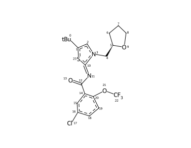 CC(C)(C)c1cn(C[C@H]2CCCO2)/c(=N/C(=O)c2cc(Cl)ccc2OC(F)(F)F)s1